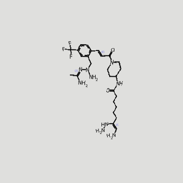 C/C(N)=N/N(N)Cc1cc(C(F)(F)F)ccc1/C=C/C(=O)N1CCC(NC(=O)CCCCC/C(=C/N)NN)CC1